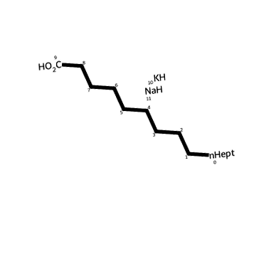 CCCCCCCCCCCCCCCC(=O)O.[KH].[NaH]